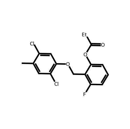 CCC(=O)Oc1cccc(F)c1COc1cc(Cl)c(C)cc1Cl